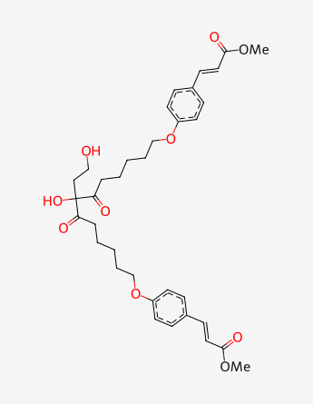 COC(=O)/C=C/c1ccc(OCCCCCC(=O)C(O)(CCO)C(=O)CCCCCOc2ccc(/C=C/C(=O)OC)cc2)cc1